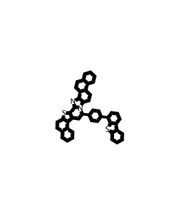 c1ccc2c(c1)ccc1c2ccc2c1nc1c3sc4ccc5ccccc5c4c3cc(-c3ccc(-c4cccc5c4sc4ccccc45)cc3)n21